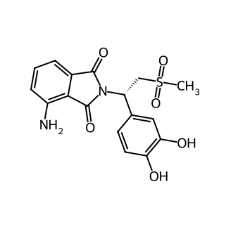 CS(=O)(=O)C[C@H](c1ccc(O)c(O)c1)N1C(=O)c2cccc(N)c2C1=O